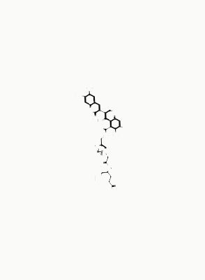 O=C(O)CCC(NC(=O)Cn1cc(COC(=O)c2c(O)c(O)cc3occ(-c4cc5cc(O)c(O)cc5oc4=O)c(=O)c23)nn1)C(=O)O